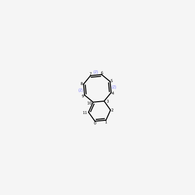 C1=CCC2\C=C/C=C\C=C/C2=C1